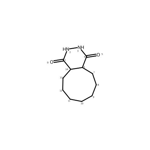 O=C1NNC(=O)C2CCCCCCCC12